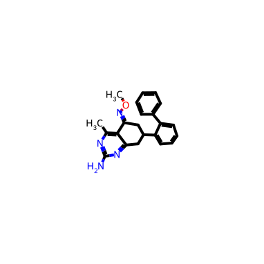 CO/N=C1\CC(c2ccccc2-c2ccccc2)Cc2nc(N)nc(C)c21